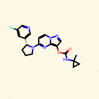 CC1(NC(=O)Oc2cnn3ccc(N4CCC[C@@H]4c4cncc(F)c4)nc23)CC1